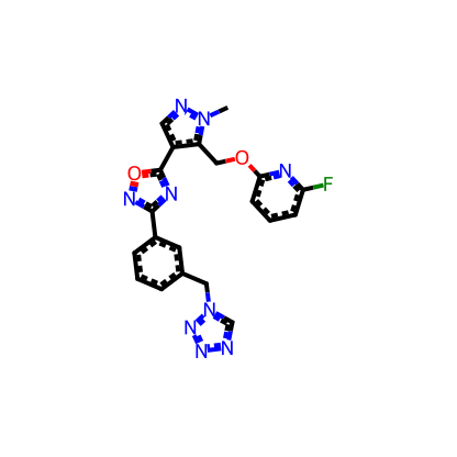 Cn1ncc(-c2nc(-c3cccc(Cn4cnnn4)c3)no2)c1COc1cccc(F)n1